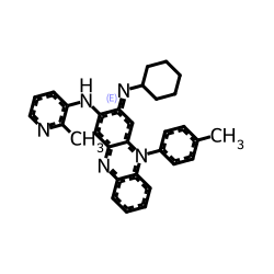 Cc1ccc(-n2c3c/c(=N\C4CCCCC4)c(Nc4cccnc4C)cc-3nc3ccccc32)cc1